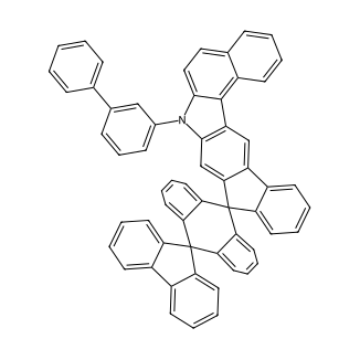 c1ccc(-c2cccc(-n3c4cc5c(cc4c4c6ccccc6ccc43)-c3ccccc3C53c4ccccc4C4(c5ccccc5-c5ccccc54)c4ccccc43)c2)cc1